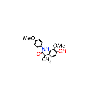 C=C(C(=O)Nc1ccc(OC)cc1)c1ccc(O)c(OC)c1